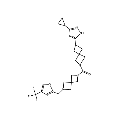 O=C(N1CC2(CC(c3nc(C4CC4)n[nH]3)C2)C1)N1CC2(CN(Cc3nc(C(F)(F)F)co3)C2)C1